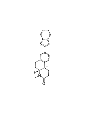 CN1C(=O)CC[C@]2(C)c3ccc(-c4cc5ccccc5s4)cc3CC[C@@H]12